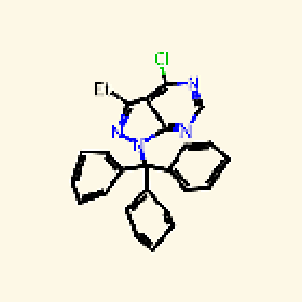 CCc1nn(C(c2ccccc2)(c2ccccc2)c2ccccc2)c2ncnc(Cl)c12